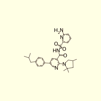 CC(C)Cc1ccc(-c2cnc(N3CC(C)CC3(C)C)c(C(=O)NS(=O)(=O)c3cccc(N)n3)c2)cc1